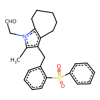 Cc1c(Cc2ccccc2S(=O)(=O)c2ccccc2)c2c(n1CC=O)CCCCC2